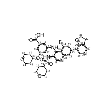 O=C(O)c1cc(Nc2c(NS(=O)(=O)C3CCOCC3)cnc3cc(-c4cncc5c4OCC5)cc(F)c23)cc(OC2CCOCC2)c1